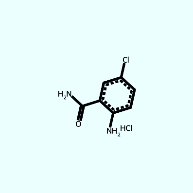 Cl.NC(=O)c1cc(Cl)ccc1N